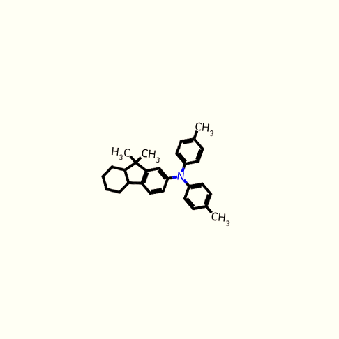 Cc1ccc(N(c2ccc(C)cc2)c2ccc3c(c2)C(C)(C)C2CCCCC32)cc1